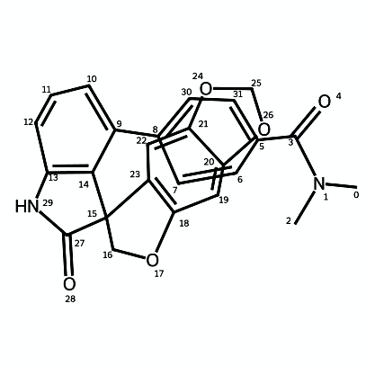 CN(C)C(=O)c1ccc(-c2cccc3c2C2(COc4cc5c(cc42)OCO5)C(=O)N3)cc1